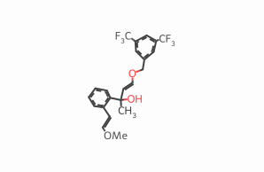 COC=Cc1ccccc1C(C)(O)C=COCc1cc(C(F)(F)F)cc(C(F)(F)F)c1